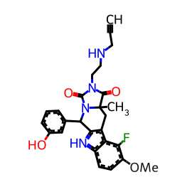 C#CCNCCN1C(=O)N2C(c3cccc(O)c3)c3[nH]c4ccc(OC)c(F)c4c3CC2(C)C1=O